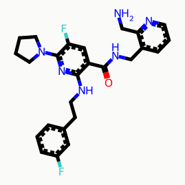 NCc1ncccc1CNC(=O)c1cc(F)c(N2CCCC2)nc1NCCc1cccc(F)c1